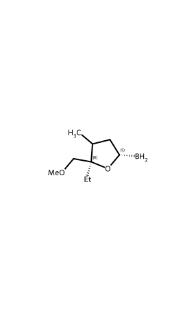 B[C@H]1CC(C)[C@](CC)(COC)O1